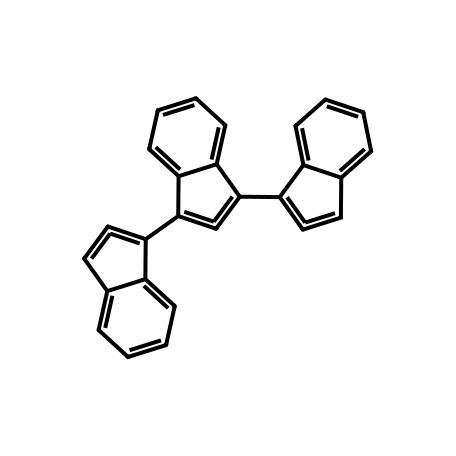 C1=Cc2ccccc2C=1C1=C=C(C2=C=Cc3ccccc32)c2ccccc21